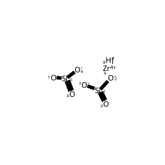 O=[Si]([O-])[O-].O=[Si]([O-])[O-].[Hf].[Zr+4]